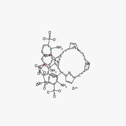 Nc1c(-c2c(-c3cccc(P(=O)([O-])[O-])c3N)c3c(-c4cccc(P(=O)([O-])[O-])c4N)c4nc(cc5ccc(cc6nc(cc2n3-c2cccc(P(=O)([O-])[O-])c2N)C=C6)[nH]5)C=C4)cccc1P(=O)([O-])[O-].[Zr+4].[Zr+4]